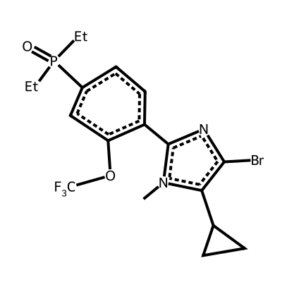 CCP(=O)(CC)c1ccc(-c2nc(Br)c(C3CC3)n2C)c(OC(F)(F)F)c1